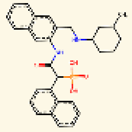 CC1CCCC(NCc2cc3ccccc3cc2NC(=O)C(c2cccc3ccccc23)P(=O)(O)O)C1